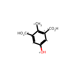 Cc1c(C(=O)O)cc(O)cc1C(=O)O